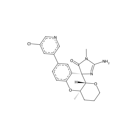 CN1C(=O)[C@]2(N=C1N)c1cc(-c3cncc(Cl)c3)ccc1O[C@]1(C)CCCO[C@H]12